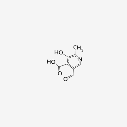 Cc1ncc(C=O)c(C(=O)O)c1O